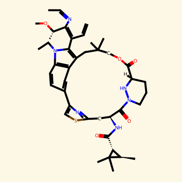 C=C/C(=C(\N=C/C)[C@H](C)OC)c1c2c3cc(ccc3n1CC)-c1csc(n1)C[C@H](NC(=O)[C@@H]1[C@@H](C)C1(C)C)C(=O)N1CCC[C@H](N1)C(=O)OCC(C)(C)C2